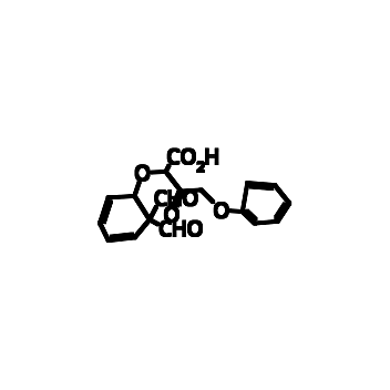 O=CC1(C=O)C=CC=CC1OC(C(=O)O)C(=O)COc1ccccc1